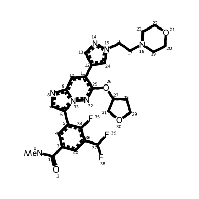 CNC(=O)c1cc(-c2cnc3cc(-c4cnn(CCN5CCOCC5)c4)c(OC4CCOC4)nn23)c(F)c(C(F)F)c1